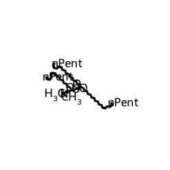 CCCCC/C=C\C/C=C\CCCCCCCCCCOC(COCCCCCCCC/C=C\C/C=C\CCCCC)COCC(CCN(C)C)OCCCCCCCC/C=C\C/C=C\CCCCC